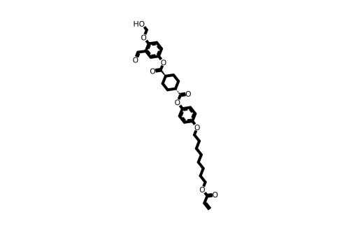 C=CC(=O)OCCCCCCCCOc1ccc(OC(=O)[C@H]2CC[C@H](C(=O)Oc3ccc(OCO)c(C=O)c3)CC2)cc1